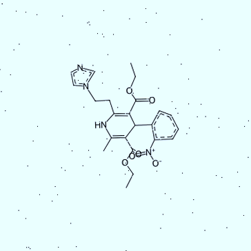 CCOC(=O)C1=C(C)NC(CCn2ccnc2)=C(C(=O)OCC)C1c1ccccc1[N+](=O)[O-]